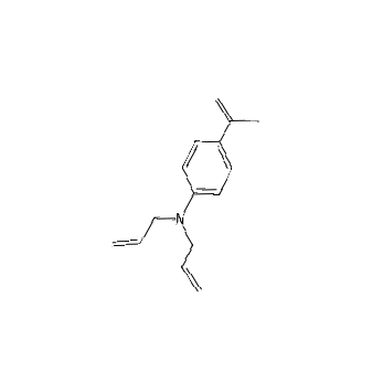 C=CCN(CC=C)c1ccc(C(=C)C)cc1